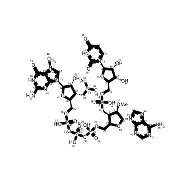 CO[C@@H]1[C@H](OP(=O)(O)OC[C@H]2O[C@@H](n3ccc(=O)[nH]c3=O)[C@H](O)[C@@H]2O)C(COP(=O)(O)OP(=O)(O)OP(=O)(O)OC[C@H]2O[C@@H](n3c[n+](C)c4c(=O)[nH]c(N)nc43)[C@H](O)[C@@H]2CN(C)C(C)=O)O[C@H]1n1cnc2c(N)ncnc21